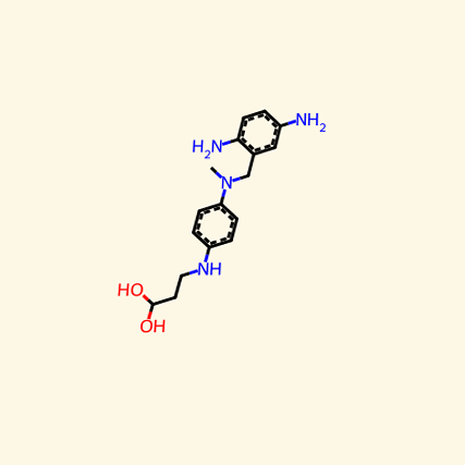 CN(Cc1cc(N)ccc1N)c1ccc(NCCC(O)O)cc1